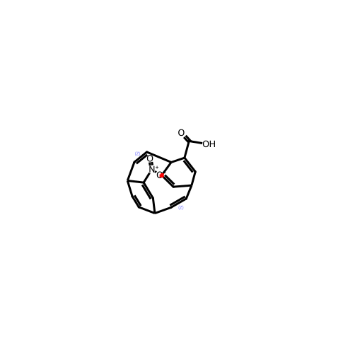 O=C(O)C1=CC2C=CC1/C=C\C1C=CC(C=C1[N+](=O)[O-])/C=C\2